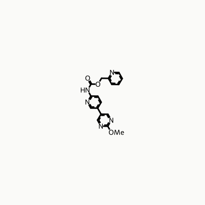 COc1ncc(-c2ccc(NC(=O)OCc3ccccn3)nc2)cn1